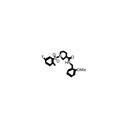 COc1ccccc1CNC(=O)C1CCCN(S(=O)(=O)c2cc(F)ccc2C)C1